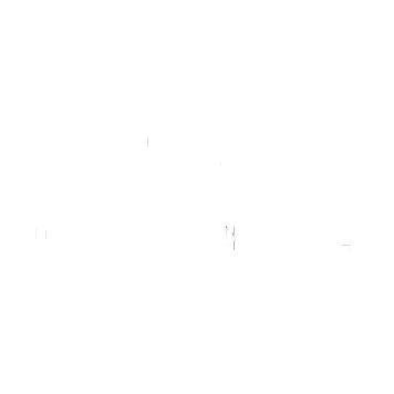 CCCNC(=O)c1ccc(Br)cc1F